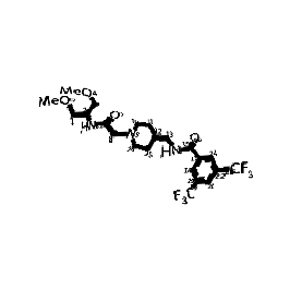 COCC(COC)NC(=O)CN1CCC(CNC(=O)c2cc(C(F)(F)F)cc(C(F)(F)F)c2)CC1